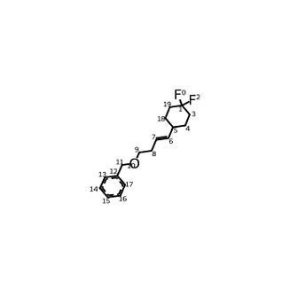 FC1(F)CCC(C=CCCOCc2ccccc2)CC1